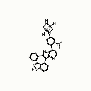 CN(C)c1cc(N2C[C@@H]3C[C@H]2CN3)ccc1-c1ccnc2c(-c3cccc4[nH]ncc34)c(-c3ccncc3)nn12